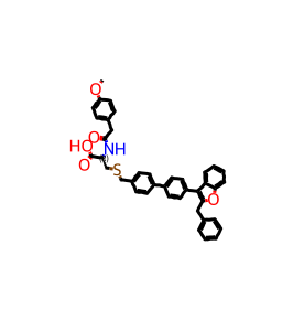 COc1ccc(CC(=O)N[C@@H](CSCc2ccc(-c3ccc(-c4c(Cc5ccccc5)oc5ccccc45)cc3)cc2)C(=O)O)cc1